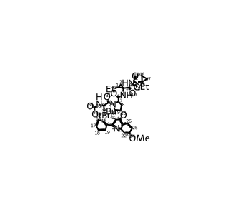 CCC1CC1(NC(=O)C1CC(Oc2cc(-c3ccccc3)nc3cc(OC)ccc23)CN1C(=O)C(NC(=O)OC(C)(C)C)C(C)(C)C)C(=O)NS(=O)(=O)C1(CC)CC1